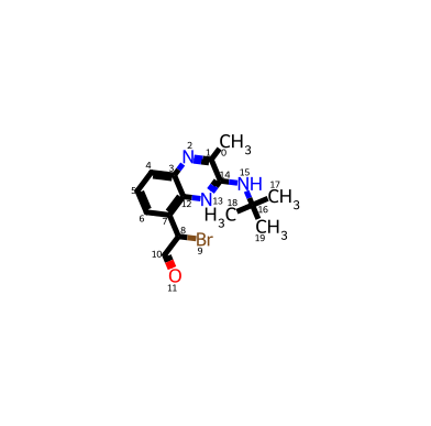 Cc1nc2cccc(C(Br)C=O)c2nc1NC(C)(C)C